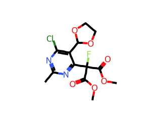 COC(=O)C(F)(C(=O)OC)c1nc(C)nc(Cl)c1C1OCCO1